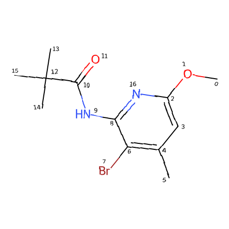 COc1cc(C)c(Br)c(NC(=O)C(C)(C)C)n1